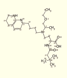 CCOCC(C)N(CCCCc1ccc2c(n1)NCCC2)CCC(NC(=O)CC(C)(C)C)C(=O)O